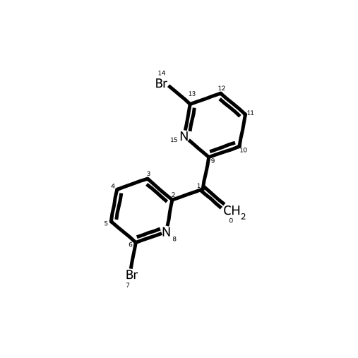 C=C(c1cccc(Br)n1)c1cccc(Br)n1